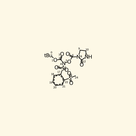 CC(C)(C)OC(=O)N(OC(=O)N1CCNC1=O)S(=O)(=O)c1ccccc1S(C)(=O)=O